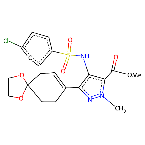 COC(=O)c1c(NS(=O)(=O)c2ccc(Cl)cc2)c(C2=CCC3(CC2)OCCO3)nn1C